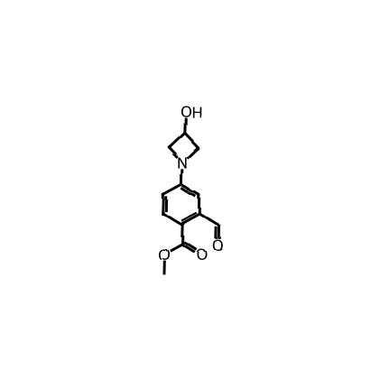 COC(=O)c1ccc(N2CC(O)C2)cc1C=O